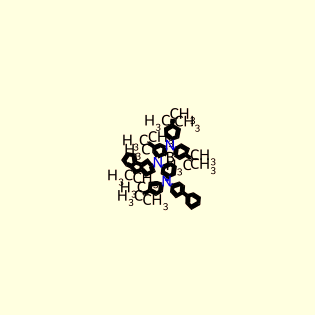 CC(C)(C)c1ccc(N(c2ccc(-c3ccccc3)cc2)c2ccc3c(c2)N(c2ccc4c(c2)-c2ccccc2C4(C)C)c2cc(C(C)(C)C)cc4c2B3c2cc(C(C)(C)C)ccc2N4c2ccc(C(C)(C)C)cc2)cc1